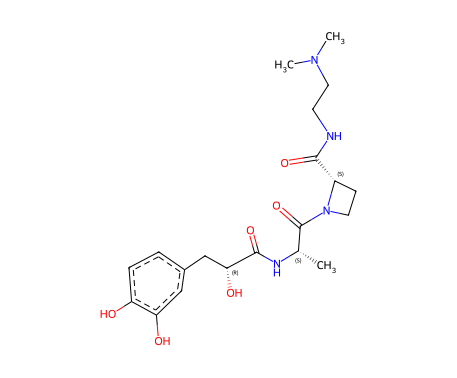 C[C@H](NC(=O)[C@H](O)Cc1ccc(O)c(O)c1)C(=O)N1CC[C@H]1C(=O)NCCN(C)C